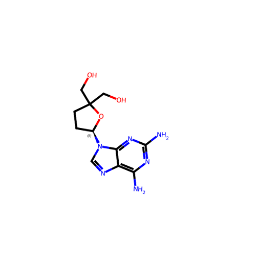 Nc1nc(N)c2ncn([C@H]3CCC(CO)(CO)O3)c2n1